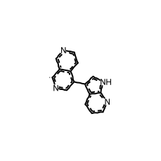 [c]1ncc(-c2c[nH]c3ncccc23)c2ccncc12